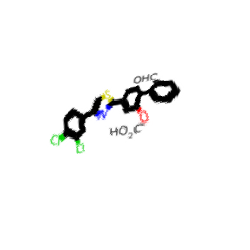 O=Cc1ccccc1-c1ccc(-c2nc(-c3ccc(Cl)c(Cl)c3)cs2)cc1OC(=O)O